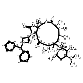 CC[C@@H]1OC(=O)[C@H](C)[C@H](O)[C@@H](C)[C@H](O[C@@H]2O[C@H](C)C[C@H](N(C)C)[C@@H]2OC(C)=O)C(C)(OC)C[C@H](C)C(=O)[C@H](C)[C@H]2N(C3CN(C(c4ccccc4)c4ccccc4)C3)C(=O)O[C@@]12C